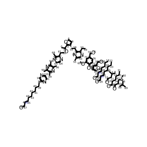 CC(=O)c1ccco1.CC(C)CC=O.CCCC/C=C/C=O.CCCCC/C=C/C=O.CCCCCC=O.CCCCCCC/C=C/C=O.CCc1ncc(C)nc1CC.CCc1nccnc1C.COc1cc(C=O)ccc1O.CSCCC=O.C[C](C)C.Cc1nc(C)c(C)nc1C.O=Cc1ccco1.c1cnccn1